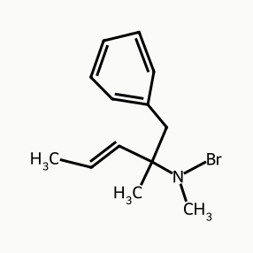 CC=CC(C)(Cc1ccccc1)N(C)Br